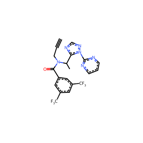 C#CCN(C(=O)c1cc(C(F)(F)F)cc(C(F)(F)F)c1)C(C)c1ncnn1-c1ncccn1